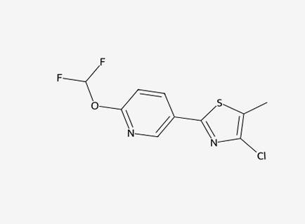 Cc1sc(-c2ccc(OC(F)F)nc2)nc1Cl